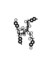 COc1ccc2cc([C@H](C)C(=O)OCC(=O)OCC(COC(=O)COC(=O)[C@@H](C)c3ccc4cc(C)ccc4c3)(COC(=O)COC(=O)[C@H](C)c3ccc4cc(C)ccc4c3)COC(=O)COC(=O)[C@H](C)c3ccc4cc(OC)ccc4c3)ccc2c1